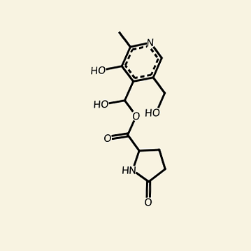 Cc1ncc(CO)c(C(O)OC(=O)C2CCC(=O)N2)c1O